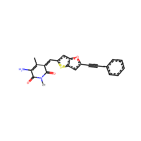 CCN1C(=O)C(N)=C(C)/C(=C/c2cc3oc(C#Cc4ccccc4)cc3s2)C1=O